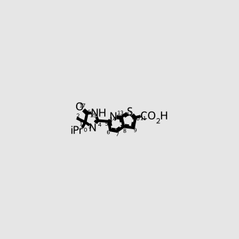 CC(C)C1(C)N=C(c2ccc3cc(C(=O)O)sc3n2)NC1=O